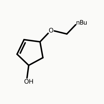 CCCCCOC1C=CC(O)C1